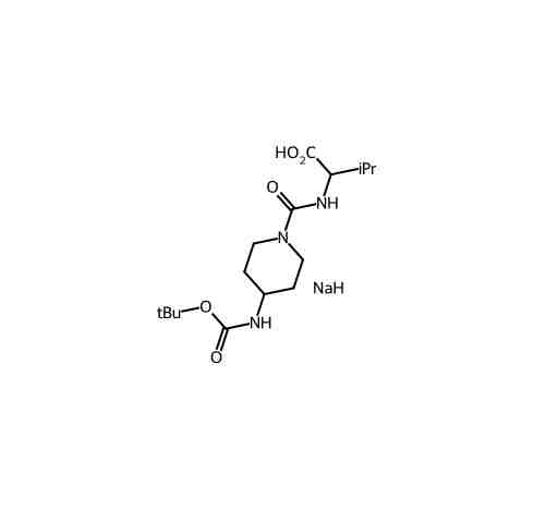 CC(C)C(NC(=O)N1CCC(NC(=O)OC(C)(C)C)CC1)C(=O)O.[NaH]